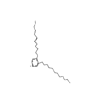 CCCCCCCCCCCCc1c[c]ccc1CCCCCCCCCCCC